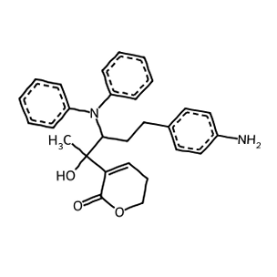 CC(O)(C1=CCCOC1=O)C(CCc1ccc(N)cc1)N(c1ccccc1)c1ccccc1